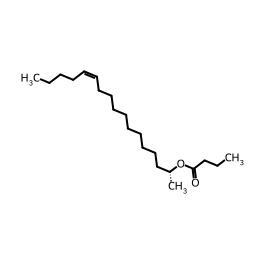 CCCC/C=C\CCCCCCCCC[C@@H](C)OC(=O)CCC